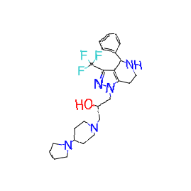 OC(CN1CCC(N2CCCC2)CC1)Cn1nc(C(F)(F)F)c2c1CCNC2c1ccccc1